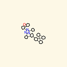 c1ccc(-c2nc(-c3ccccc3-c3cccc(-c4ccc5c(c4)C4(c6ccccc6-c6ccccc64)c4ccccc4-5)c3)nc(-c3cccc4oc5ccccc5c34)n2)cc1